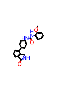 COc1ccccc1NC(=O)Nc1ccc(-c2cccc3c2CNC3=O)cc1